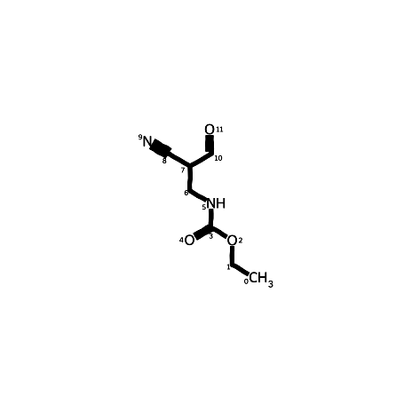 CCOC(=O)NCC(C#N)C=O